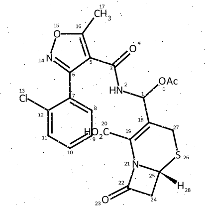 CC(=O)OC(NC(=O)c1c(-c2ccccc2Cl)noc1C)C1=C(C(=O)O)N2C(=O)C[C@H]2SC1